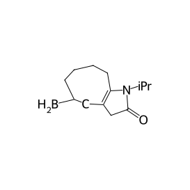 BC1CCCCC2=C(CC(=O)N2C(C)C)C1